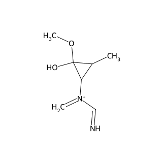 C=[N+](C=N)C1C(C)C1(O)OC